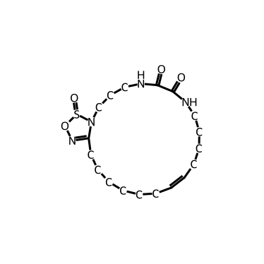 O=C1NCCCC/C=C\CCCCCCC2=NOS(=O)N2CCCNC1=O